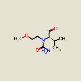 COCCN(C(N)=O)[C@H]([C]=O)C(C)C